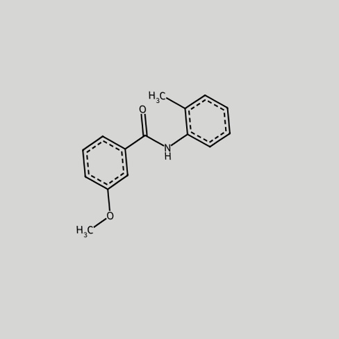 COc1cccc(C(=O)Nc2ccccc2C)c1